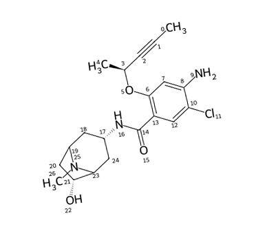 CC#C[C@H](C)Oc1cc(N)c(Cl)cc1C(=O)N[C@H]1CC2C[C@@H](O)C(C1)N2C